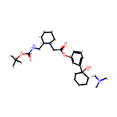 CN(C)C[C@@H]1CCCC[C@]1(O)c1cccc(OC(=O)CC2CCCCC2CNC(=O)OC(C)(C)C)c1